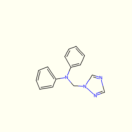 c1ccc(N(Cn2cncn2)c2ccccc2)cc1